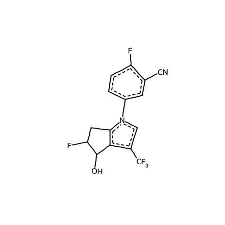 N#Cc1cc(-n2cc(C(F)(F)F)c3c2CC(F)C3O)ccc1F